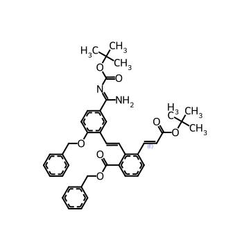 CC(C)(C)OC(=O)/C=C/c1cccc(C(=O)OCc2ccccc2)c1C=Cc1cc(C(N)=NC(=O)OC(C)(C)C)ccc1OCc1ccccc1